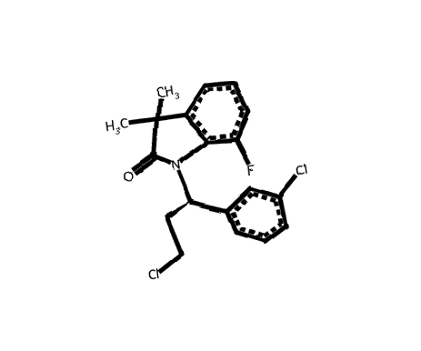 CC1(C)C(=O)N([C@H](CCCl)c2cccc(Cl)c2)c2c(F)cccc21